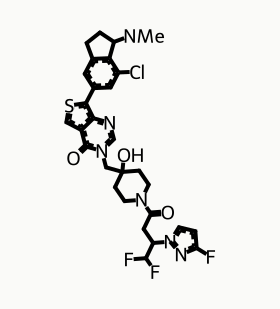 CNC1CCc2cc(-c3scc4c(=O)n(CC5(O)CCN(C(=O)CC(C(F)F)n6ccc(F)n6)CC5)cnc34)cc(Cl)c21